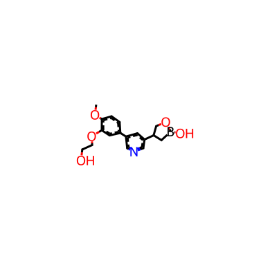 COc1ccc(-c2cncc(C3COB(O)C3)c2)cc1OCCO